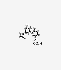 C[C@H]1CCN1c1nc(-c2cc(CCC(=O)O)ccc2F)cc(C(F)(F)F)n1